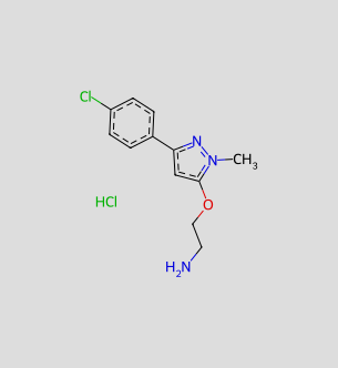 Cl.Cn1nc(-c2ccc(Cl)cc2)cc1OCCN